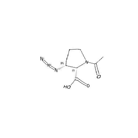 CC(=O)N1CC[C@@H](N=[N+]=[N-])[C@H]1C(=O)O